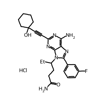 CCC(CCC(N)=O)n1c(-c2cccc(F)c2)nc2c(N)nc(C#CC3(O)CCCCC3)nc21.Cl